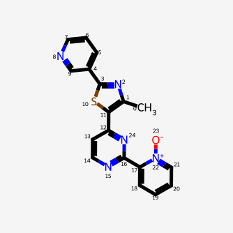 Cc1nc(-c2cccnc2)sc1-c1ccnc(-c2cccc[n+]2[O-])n1